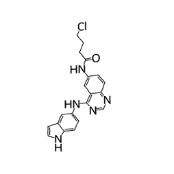 O=C(CCCCl)Nc1ccc2ncnc(Nc3ccc4[nH]ccc4c3)c2c1